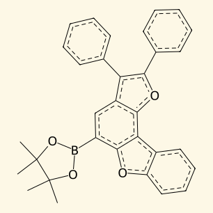 CC1(C)OB(c2cc3c(-c4ccccc4)c(-c4ccccc4)oc3c3c2oc2ccccc23)OC1(C)C